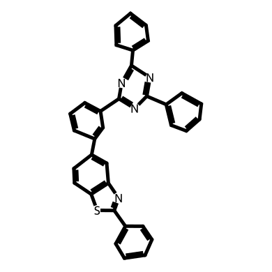 c1ccc(-c2nc(-c3ccccc3)nc(-c3cccc(-c4ccc5sc(-c6ccccc6)nc5c4)c3)n2)cc1